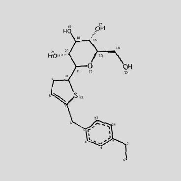 CCc1ccc(CC2=CCC(C3O[C@H](CO)[C@@H](O)C(O)[C@H]3O)S2)cc1